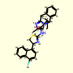 Cc1cn2c(n1)C1CC(C)(C(=O)NC3=NC(c4ccc(F)c5ccccc45)CS3)C2c2ccccc21